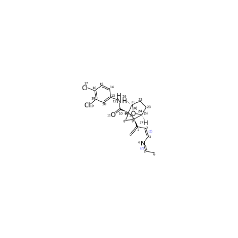 C=C(/C=C\N=C/C)[C@@]12C[C@]1(C(=O)Nc1ccc(Cl)c(Cl)c1)[C@H]1CC[C@@H]2O1